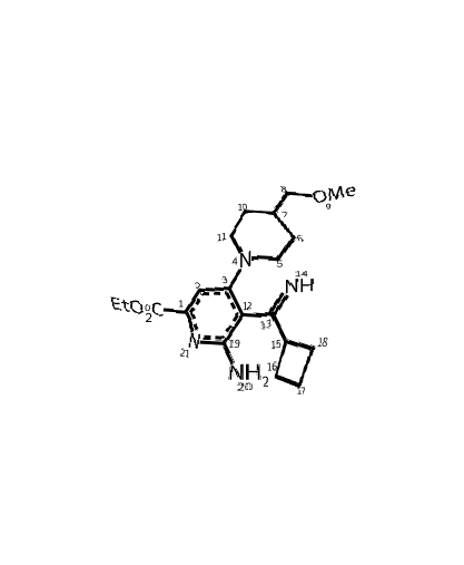 CCOC(=O)c1cc(N2CCC(COC)CC2)c(C(=N)C2CCC2)c(N)n1